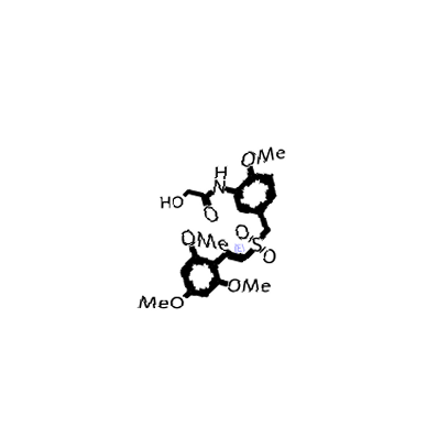 COc1cc(OC)c(/C=C/S(=O)(=O)Cc2ccc(OC)c(NC(=O)CO)c2)c(OC)c1